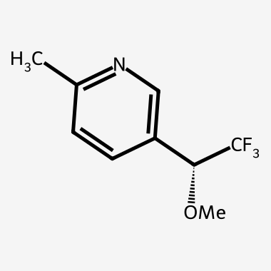 CO[C@H](c1ccc(C)nc1)C(F)(F)F